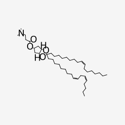 CCCC/C=C\C/C=C\CCCCCCCCC1(CCCCCCCC/C=C\CCCCCCC)O[C@H]2C[C@H](OC(=O)CCN(C)C)C[C@H]2O1